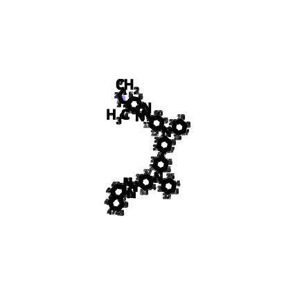 C=C/C=C\c1ccc2nn(-c3ccc(N(c4ccccc4)c4ccc(-c5ccc(N(c6ccccc6)c6ccc(-n7nc8ccc9ccccc9c8n7)cc6)cc5)cc4)cc3)nc2c1C